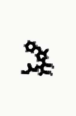 Cc1nc(/C(N)=C(\CNC(=O)OCC(C)C)N(C)N)ccc1OC1CCCCC1